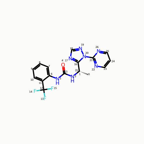 C[C@H](NC(=O)Nc1ccccc1C(F)(F)F)c1ncnn1-c1ncccn1